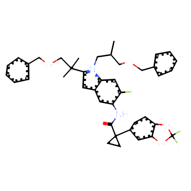 CC(COCc1ccccc1)Cn1c(C(C)(C)COCc2ccccc2)cc2cc(NC(=O)C3(c4ccc5c(c4)OC(F)(F)O5)CC3)c(F)cc21